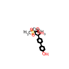 CCC(C[C@](C)(C(=O)O)S(C)(=O)=O)c1ccc(-c2ccc(O)cc2)cc1